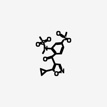 CN(c1cc(S(C)(=O)=O)ccc1C(=O)c1cnoc1C1CC1)S(C)(=O)=O